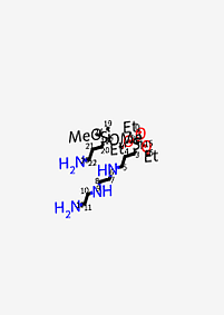 CCO[Si](CCCNCCNCCN)(OCC)OCC.CO[Si](C)(CCCN)OC